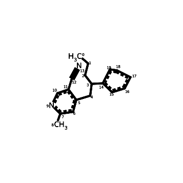 CCCC(Cc1cc(C)ncc1C#N)c1ccccc1